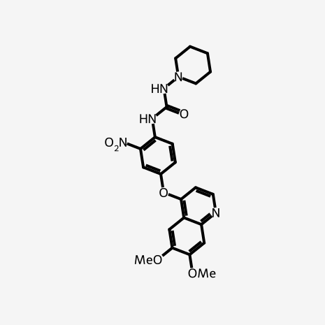 COc1cc2nccc(Oc3ccc(NC(=O)NN4CCCCC4)c([N+](=O)[O-])c3)c2cc1OC